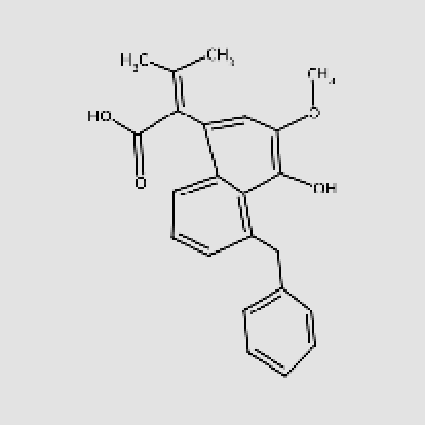 COc1cc(C(C(=O)O)=C(C)C)c2cccc(Cc3ccccc3)c2c1O